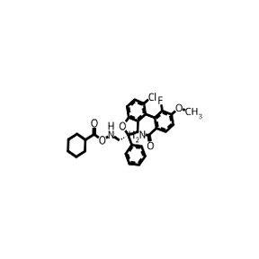 COc1ccc(C(N)=O)c(-c2c(Cl)ccc3c2C[C@@](CNOC(=O)C2CCCCC2)(c2ccccc2)O3)c1F